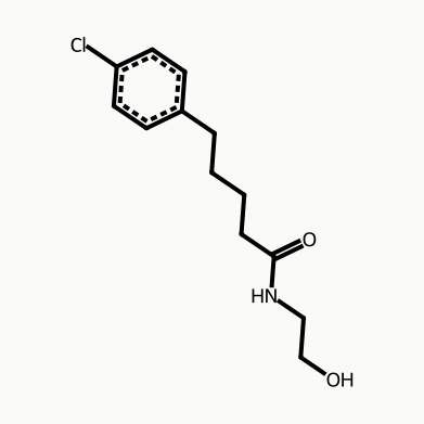 O=C(CCCCc1ccc(Cl)cc1)NCCO